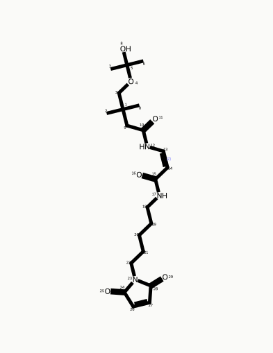 CC(C)(COC(C)(C)O)CC(=O)N/C=C\C(=O)NCCCCCN1C(=O)C=CC1=O